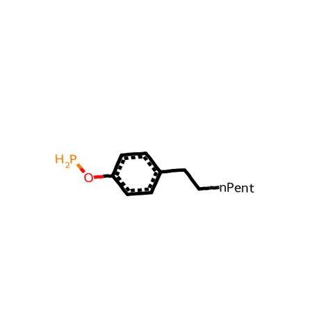 CCCCCCCc1ccc(OP)cc1